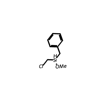 CO[SiH](CCl)Cc1ccccc1